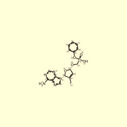 Nc1ncnc2c1ncn2[C@@H]1O[C@H](OCP(=O)(O)Oc2ccccc2)C=C1F